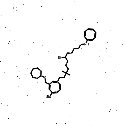 CCC(CCCCCNC1=C/C=C\C=C/C=C\1)CCCC(C)(C)CCC1=C/C(CSC2CCCCCC2)=C\C(C(C)(C)C)=C/C=C\1